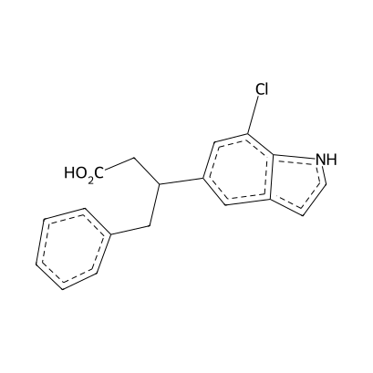 O=C(O)CC(Cc1ccccc1)c1cc(Cl)c2[nH]ccc2c1